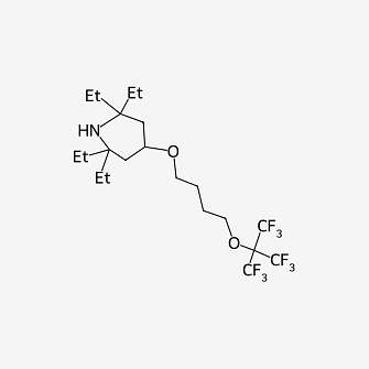 CCC1(CC)CC(OCCCCOC(C(F)(F)F)(C(F)(F)F)C(F)(F)F)CC(CC)(CC)N1